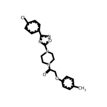 Cc1ccc(OCC(=O)N2CCN(c3nc(-c4ccc(Cl)cc4)no3)CC2)cc1